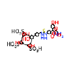 NOC(=O)c1cc(NC(=S)NCc2ccc(-c3cc4c(O)c(c3)Cc3cc(S(=O)(=O)O)cc(c3O)Cc3cc(S(=O)(=O)O)cc(c3O)Cc3cc(S(=O)(=O)O)cc(c3O)C4)cc2)ccc1-c1c2ccc(=O)cc-2oc2cc(O)ccc12